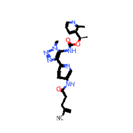 C=C(C#N)CCC(=O)Nc1ccc(-c2nnn(C)c2NC(=O)O[C@H](C)c2cccnc2C)nc1